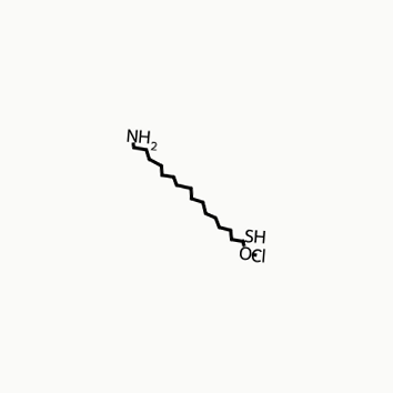 NCCCCCCCCCCCCCCCC(S)OCl